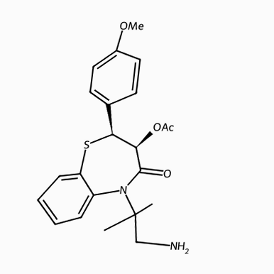 COc1ccc([C@@H]2Sc3ccccc3N(C(C)(C)CN)C(=O)[C@@H]2OC(C)=O)cc1